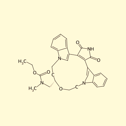 CCOC(=O)N(C)C[C@@H]1CCn2cc(c3ccccc32)C2=C(C(=O)NC2=O)c2cn(c3ccccc23)CCO1